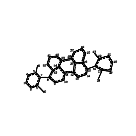 Cc1cccc(C)c1-c1ccc2c3ccc(-c4c(C)cccc4C)c4cccc(c5cccc1c52)c43